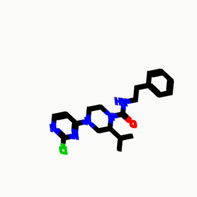 CC(C)C1CN(c2ccnc(Cl)n2)CCN1C(=O)NCCc1ccccc1